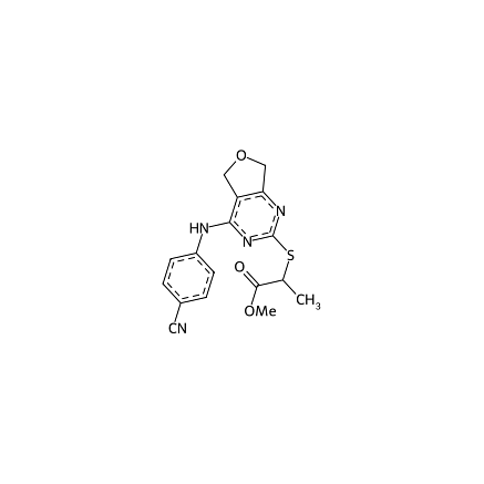 COC(=O)C(C)Sc1nc2c(c(Nc3ccc(C#N)cc3)n1)COC2